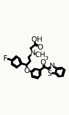 CN(CCC(Oc1cccc(C(=O)c2nc3ccccc3s2)c1)c1ccc(F)cc1)CC(=O)O